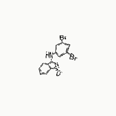 [O-][s+]1nc(Nc2cc(Br)cc(Br)c2)c2ccccc21